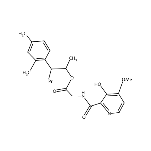 COc1ccnc(C(=O)NCC(=O)OC(C)C(c2ccc(C)cc2C)C(C)C)c1O